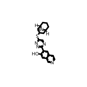 Oc1cc2cnccc2cc1-c1ncc(SC2C[C@H]3CCC[C@@H](C2)N3)nn1